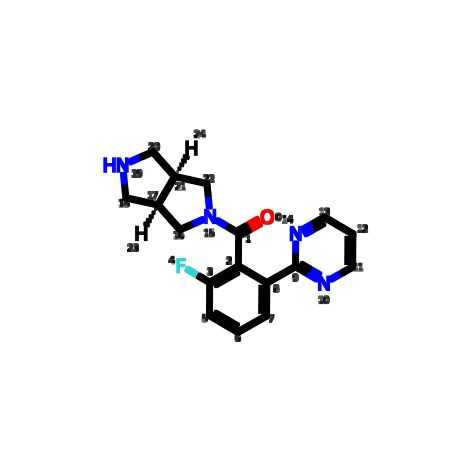 O=C(c1c(F)cccc1-c1ncccn1)N1C[C@H]2CNC[C@H]2C1